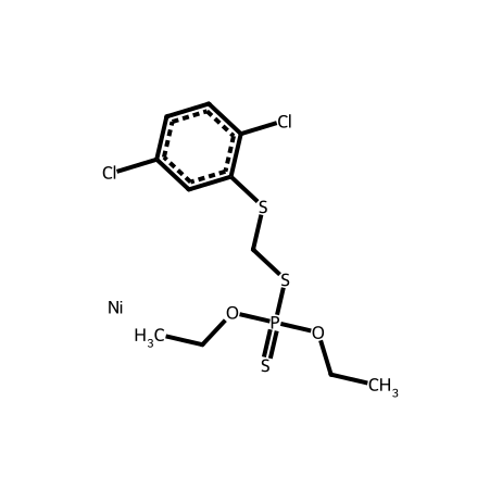 CCOP(=S)(OCC)SCSc1cc(Cl)ccc1Cl.[Ni]